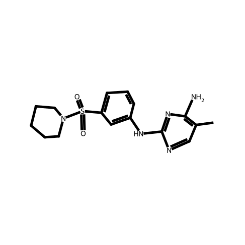 Cc1cnc(Nc2cccc(S(=O)(=O)N3CCCCC3)c2)nc1N